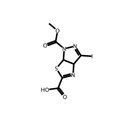 COC(=O)N1N=C(I)C2N=C(C(=O)O)SC21